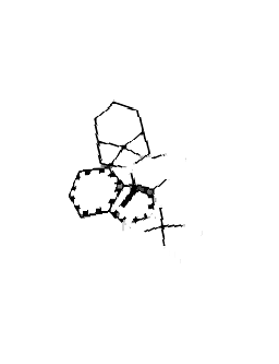 COC1(c2cccc3[nH]nc(Cl)c23)C2CCCC1CN(C(=O)OC(C)(C)C)C2